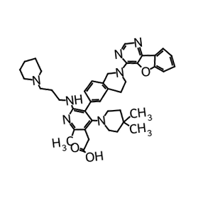 Cc1nc(NCCCN2CCCCC2)c(-c2ccc3c(c2)CCN(c2ncnc4c2oc2ccccc24)C3)c(N2CCC(C)(C)CC2)c1CC(=O)O